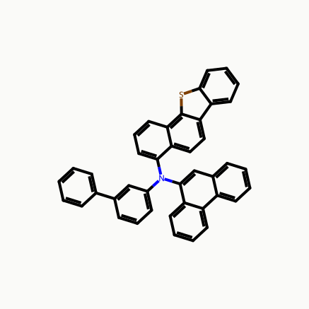 c1ccc(-c2cccc(N(c3cc4ccccc4c4ccccc34)c3cccc4c3ccc3c5ccccc5sc43)c2)cc1